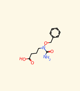 NC(=O)N(CCCC(=O)O)OCc1ccccc1